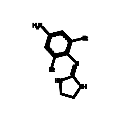 CCc1cc(N)cc(CC)c1N=C1NCCN1